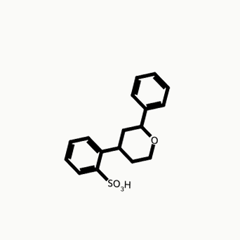 O=S(=O)(O)c1ccccc1C1CCOC(c2ccccc2)C1